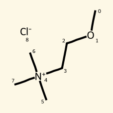 COCC[N+](C)(C)C.[Cl-]